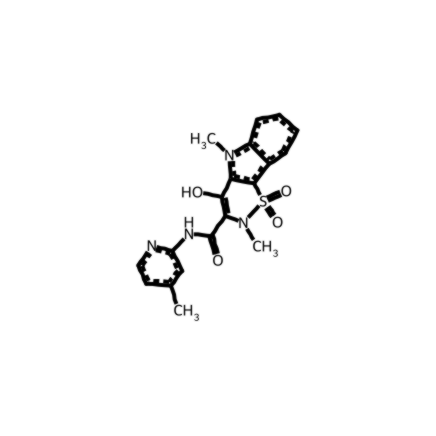 Cc1ccnc(NC(=O)C2=C(O)c3c(c4ccccc4n3C)S(=O)(=O)N2C)c1